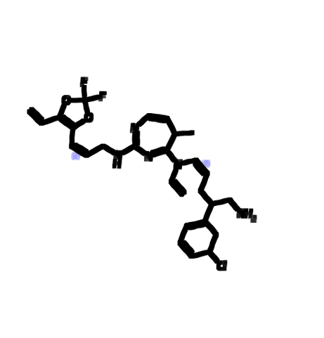 C=CC1=C(/C=C\CNC2=NC=CC(C)C(N(C=C)/C=C\CC(CN)C3=CC=CC(Cl)C3)=N2)OC(F)(F)O1